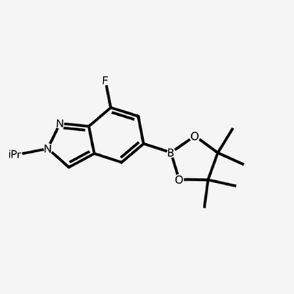 CC(C)n1cc2cc(B3OC(C)(C)C(C)(C)O3)cc(F)c2n1